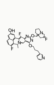 CCc1c(F)ccc2cc(O)cc(-c3ncc4c(OCCCc5cccnc5)nc(OC[C@@]56CCCN5C[C@H](F)C6)nc4c3F)c12